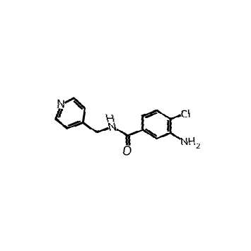 Nc1cc(C(=O)NCc2ccncc2)ccc1Cl